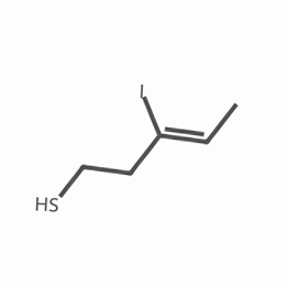 CC=C(I)CCS